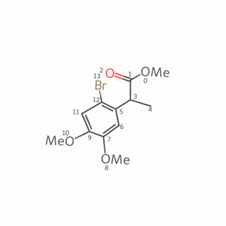 COC(=O)C(C)c1cc(OC)c(OC)cc1Br